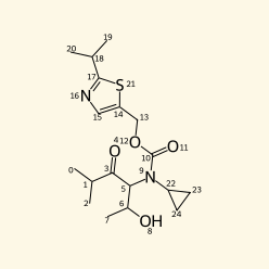 CC(C)C(=O)C(C(C)O)N(C(=O)OCc1cnc(C(C)C)s1)C1CC1